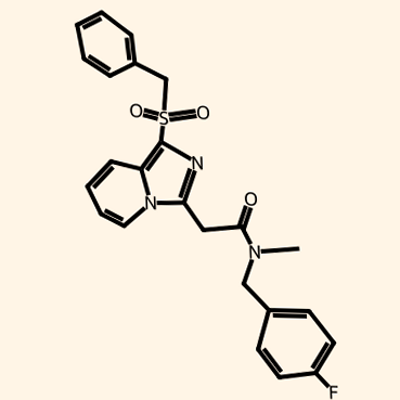 CN(Cc1ccc(F)cc1)C(=O)Cc1nc(S(=O)(=O)Cc2ccccc2)c2ccccn12